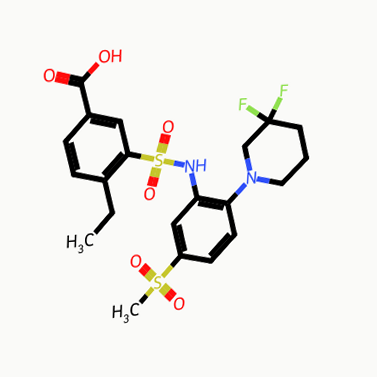 CCc1ccc(C(=O)O)cc1S(=O)(=O)Nc1cc(S(C)(=O)=O)ccc1N1CCCC(F)(F)C1